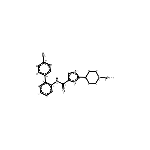 CCCCCN1CCC(c2nc(C(=O)Nc3ccccc3-c3ccc(CC)cc3)cs2)CC1